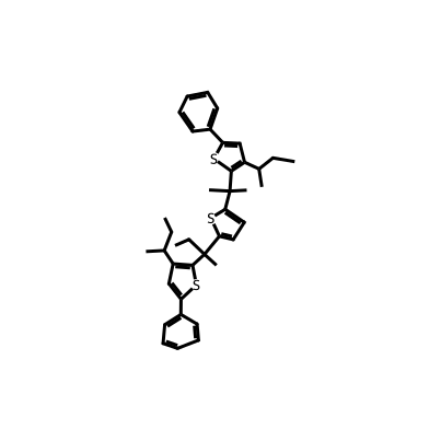 CCC(C)c1cc(-c2ccccc2)sc1C(C)(C)c1ccc(C(C)(CC)c2sc(-c3ccccc3)cc2C(C)CC)s1